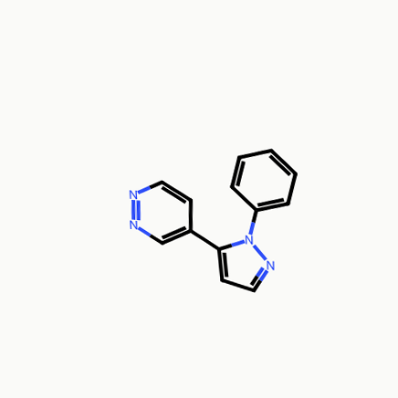 c1ccc(-n2nccc2-c2ccnnc2)cc1